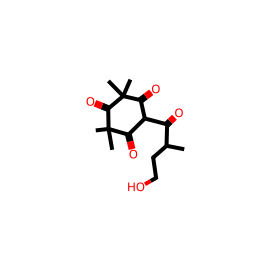 CC(CCO)C(=O)C1C(=O)C(C)(C)C(=O)C(C)(C)C1=O